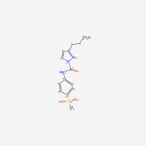 O=C(O)CCc1ccn(C(=O)Nc2ccc(S(=O)(=O)C(F)(F)F)cc2)n1